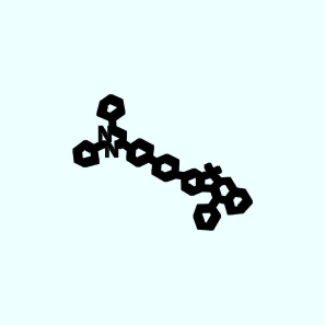 CC1(C)c2cc(-c3ccc(-c4ccc(-c5cc(-c6ccccc6)nc(-c6ccccc6)n5)cc4)cc3)ccc2C2=C(c3ccccc3)c3ccccc3CC21